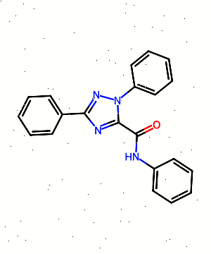 O=C(Nc1ccccc1)c1nc(-c2ccccc2)nn1-c1ccccc1